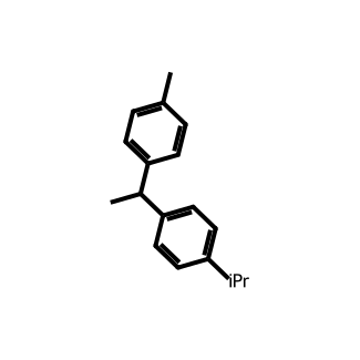 Cc1ccc(C(C)c2ccc(C(C)C)cc2)cc1